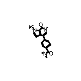 CN(C)C(=O)c1ccc(-c2cn(C)c(=O)c3c2ccn3SI)cc1